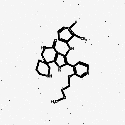 COCCOc1cnccc1-c1[nH]c2c(c1Nc1cccc(F)c1C)C(=O)NCC21CCCNC1